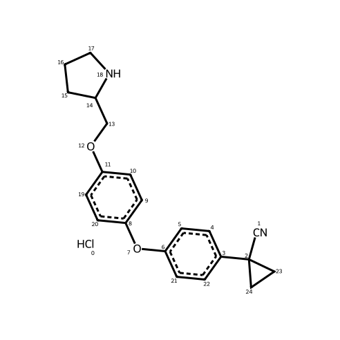 Cl.N#CC1(c2ccc(Oc3ccc(OCC4CCCN4)cc3)cc2)CC1